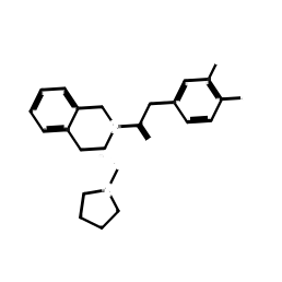 Cl.O=C(Cc1ccc(Cl)c(Cl)c1)N1Cc2ccccc2C[C@H]1CN1CCCC1